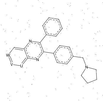 [CH]1=c2nc(-c3ccccc3)c(-c3ccc(CN4CCCC4)cc3)n[c]2=[U][V]=[W]1